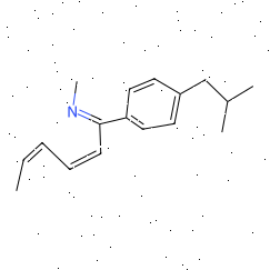 C\C=C/C=C\C(=N\C)c1ccc(CC(C)C)cc1